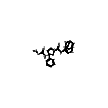 CC(C)(C)OC(=O)N[C@]1(c2ccccc2)CCN(C(=O)OC2C3CC4=CC(C3)CC2C4)C1